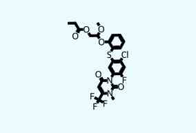 CCC(=O)OCC(OC)Oc1ccccc1Sc1cc(-n2c(=O)cc(C(F)(F)F)n(C)c2=O)c(F)cc1Cl